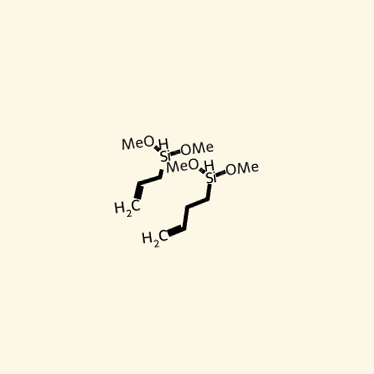 C=CCC[SiH](OC)OC.C=CC[SiH](OC)OC